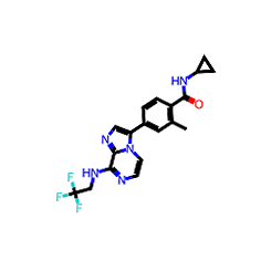 Cc1cc(-c2cnc3c(NCC(F)(F)F)nccn23)ccc1C(=O)NC1CC1